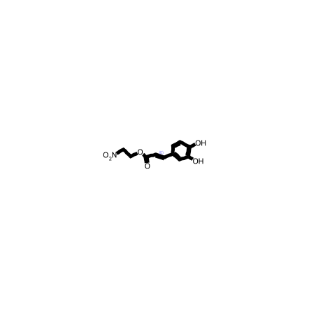 O=C(/C=C/c1ccc(O)c(O)c1)OCC[N+](=O)[O-]